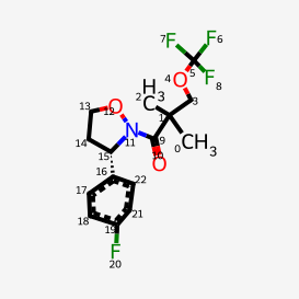 CC(C)(COC(F)(F)F)C(=O)N1OCC[C@H]1c1ccc(F)cc1